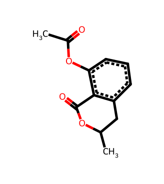 CC(=O)Oc1cccc2c1C(=O)OC(C)C2